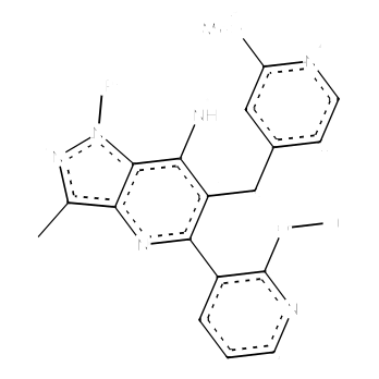 CCOc1ncccc1-c1nc2c(C)nn(C(C)C)c2c(N)c1Cc1ccnc(OC)c1